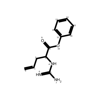 C=CCC(NC(=N)N)C(=O)Oc1ccccc1